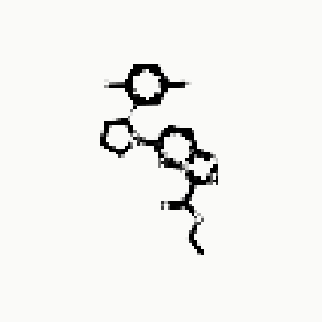 CCOC(=O)c1nnc2ccc(N3CCC[C@@H]3c3cc(F)ccc3F)nn12